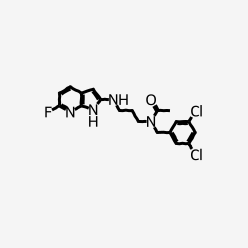 CC(=O)N(CCCNc1cc2ccc(F)nc2[nH]1)Cc1cc(Cl)cc(Cl)c1